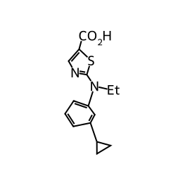 CCN(c1cccc(C2CC2)c1)c1ncc(C(=O)O)s1